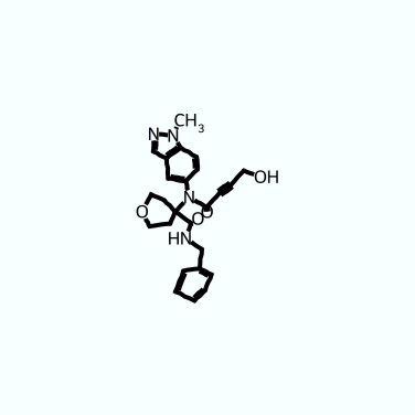 Cn1ncc2cc(N(C(=O)C#CCO)C3(C(=O)NCc4ccccc4)CCOCC3)ccc21